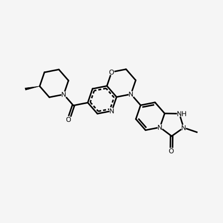 C[C@H]1CCCN(C(=O)c2cnc3c(c2)OCCN3C2=CC3NN(C)C(=O)N3C=C2)C1